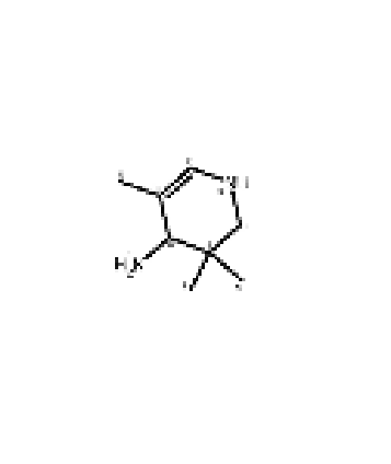 CC1=CNCC(C)(C)C1N